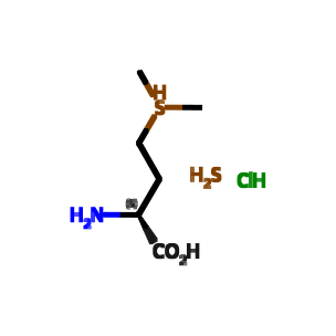 C[SH](C)CC[C@H](N)C(=O)O.Cl.S